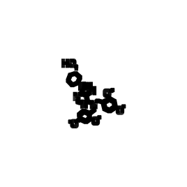 COc1ccc(CN(Cc2ccc(OC)cc2OC)c2ncnc3c2nnn3[C@@H]2CCC[C@H](CO)C2)c(OC)c1